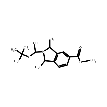 COC(=O)c1ccc2c(c1)C(C)N(C(O)OC(C)(C)C)C2C